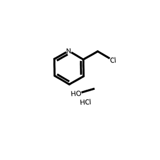 CO.Cl.ClCc1ccccn1